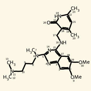 COc1cc2nc(N(C)CCCN(C)C)nc(NCc3c(C)cc(C)[nH]c3=O)c2cc1OC